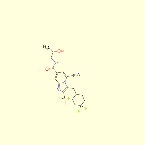 CC(O)CNC(=O)c1cc(C#N)n2c(CC3CCC(F)(F)CC3)c(C(F)(F)F)nc2c1